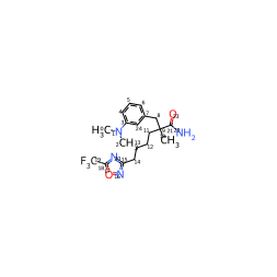 CN(C)c1cccc(CC(C)(CCCCc2noc(C(F)(F)F)n2)C(N)=O)c1